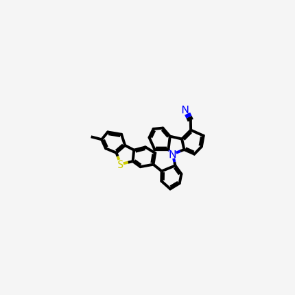 Cc1ccc2c(c1)sc1cc(-c3ccccc3-n3c4ccccc4c4c(C#N)cccc43)ccc12